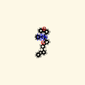 C1=CC2C3=C(CCC(c4cccc5c4Cc4ccccc4-5)=C3)OC2C(C2=NC(c3cccc4oc5ccccc5c34)NC(c3ccccc3)N2)=C1